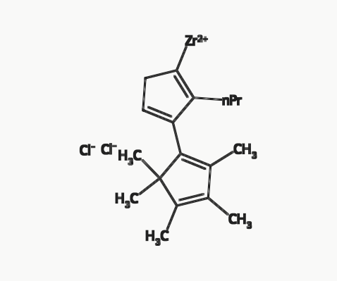 CCCC1=[C]([Zr+2])CC=C1C1=C(C)C(C)=C(C)C1(C)C.[Cl-].[Cl-]